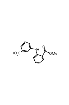 COC(=O)c1ccccc1Nc1cccc(C(=O)O)c1